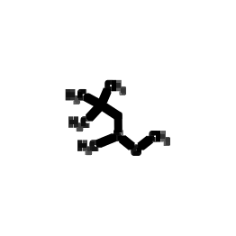 CON(C)CC(C)(C)C